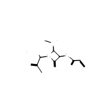 C=CC(=O)NC1C(=O)N(C(C(=C)C)C(=O)O)C1[S+]([O-])Cl